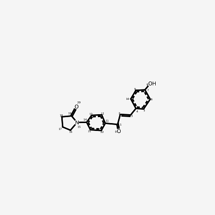 O=C(C=Cc1ccc(O)cc1)c1ccc(N2CCCC2=O)cc1